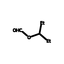 CCC(CC)OC=O